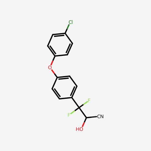 N#CC(O)C(F)(F)c1ccc(Oc2ccc(Cl)cc2)cc1